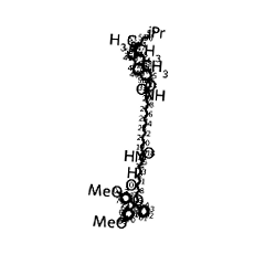 COc1ccc(C(OCCC(O)CCCCCNC(=O)CCCCCCCCCCCNC(=O)OC2CC[C@@]3(C)C(=CCC4C3CC[C@@]3(C)C4CC[C@@H]3[C@H](C)CCCC(C)C)C2)(c2ccccc2)c2ccc(OC)cc2)cc1